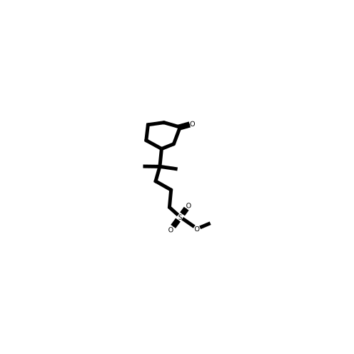 COS(=O)(=O)CCCC(C)(C)C1CCCC(=O)C1